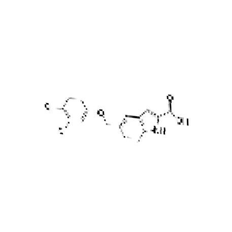 O=C(O)c1cc2cc(COc3ccc(Cl)c(Cl)c3)ccc2[nH]1